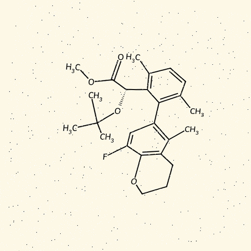 COC(=O)[C@@H](OC(C)(C)C)c1c(C)ccc(C)c1-c1cc(F)c2c(c1C)CCCO2